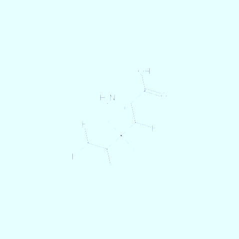 CC(C)(C(F)C(F)F)C(F)[C@H](N)C(=O)O